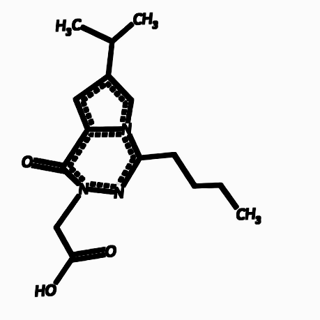 CCCCc1nn(CC(=O)O)c(=O)c2cc(C(C)C)cn12